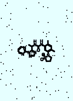 Cc1cc(C)c(N2CCCS2(=O)=O)cc1NC(=O)NC(C)c1ncnn1-c1ncccn1